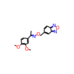 COc1ccc(/C(C)=N/OCc2ccc3nonc3c2)cc1OC